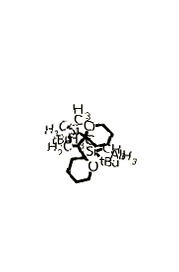 [AlH3].[CH2]C(C1([Si](C)(C)C(C)(C)C)CCCCO1)C1([Si](C)(C)C(C)(C)C)CCCCO1